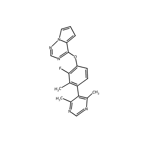 Cc1ncnc(C)c1-c1ccc(Oc2ncnn3cccc23)c(F)c1C